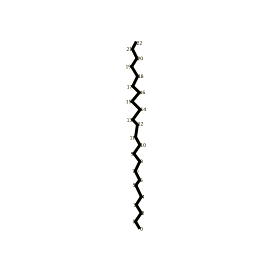 CCCCCCC[CH]CCCCCCCCCCCCCCC